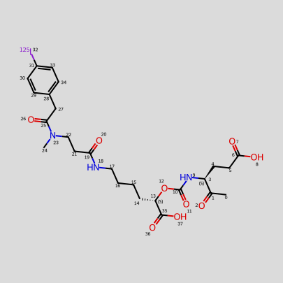 CC(=O)[C@H](CCC(=O)O)NC(=O)O[C@@H](CCCCNC(=O)CCN(C)C(=O)Cc1ccc([125I])cc1)C(=O)O